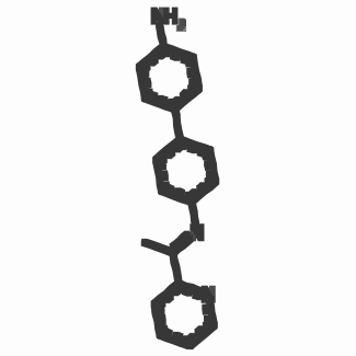 C/C(=N\c1ccc(-c2ccc(N)cc2)cc1)c1ccccn1